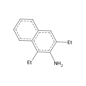 CCc1cc2ccccc2c(CC)c1N